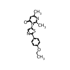 CCOc1ccc(-c2ncc(-n3c(C)nc(C)cc3=O)s2)cc1